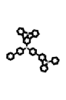 c1ccc(-c2ccc(N(c3ccc(-c4ccc5c(c4)c4ccccc4n5-c4ccccc4)cc3)c3cc4c5ccccc5n5c6ccccc6c(c3)c45)cc2)cc1